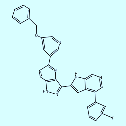 Fc1cccc(-c2cncc3[nH]c(-c4n[nH]c5ccc(-c6cncc(OCc7ccccc7)c6)nc45)cc23)c1